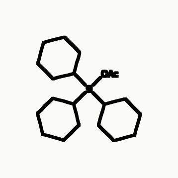 CC(=O)O[Si](C1CCCCC1)(C1CCCCC1)C1CCCCC1